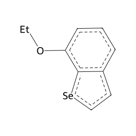 CCOc1cccc2cc[se]c12